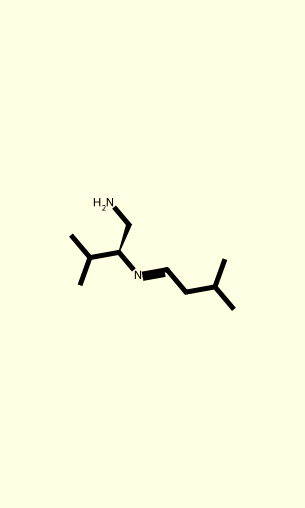 CC(C)CC=N[C@H](CN)C(C)C